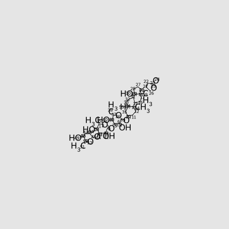 CC1OC(O[C@@H]2[C@H](O)C(O[C@H]3CCC4(C)C5CCC6(C)[C@@H](C7=CC(=O)OC7)CC[C@]6(O)C5CC[C@@H]4C3)OC(C)[C@@H]2O)[C@@H](O)[C@@H](OC2C=C[C@H](O)[C@H](C)O2)[C@H]1O